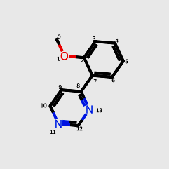 COc1ccccc1-c1ccncn1